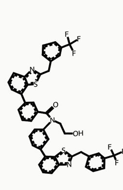 O=C(c1cccc(-c2cccc3nc(Cc4cccc(C(F)(F)F)c4)sc23)c1)N(CCO)c1cccc(-c2cccc3nc(Cc4cccc(C(F)(F)F)c4)sc23)c1